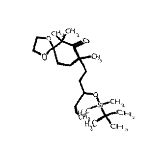 CCC(CCC1(C)CCC2(OCCO2)C(C)(C)C1=O)O[Si](C)(C)C(C)(C)C